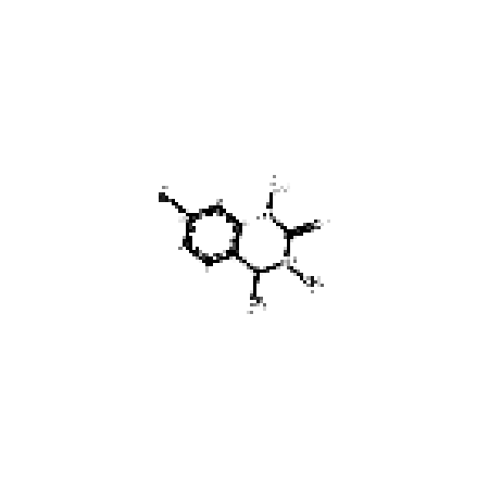 CN(C(=O)OC(C)(C)C)C(c1ccc(Br)cc1)C(F)(F)F